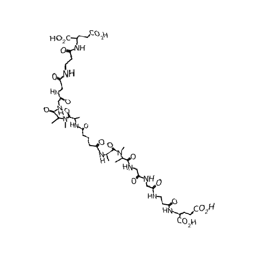 CC(NC(=O)CCCC(=O)NC(C)C(=O)N(C)C(C)C(=O)NCC(=O)NCC(=O)NCCC(=O)NC(CCC(=O)O)C(=O)O)C(=O)N(C)C(C)C(=O)NCC(=O)NCC(=O)NCCC(=O)NC(CCC(=O)O)C(=O)O